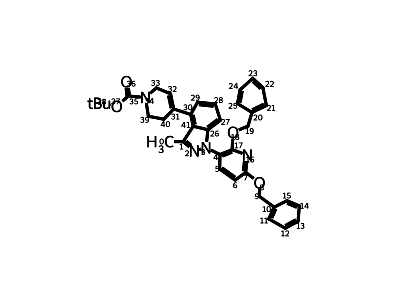 Cc1nn(-c2ccc(OCc3ccccc3)nc2OCc2ccccc2)c2cccc(C3=CCN(C(=O)OC(C)(C)C)CC3)c12